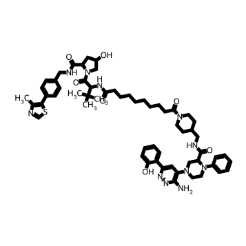 Cc1ncsc1-c1ccc(CNC(=O)C2CC(O)CN2C(=O)C(NC(=O)CCCCCCCCC(=O)N2CCC(CNC(=O)C3CN(c4cc(-c5ccccc5O)nnc4N)CCN3c3ccccc3)CC2)C(C)(C)C)cc1